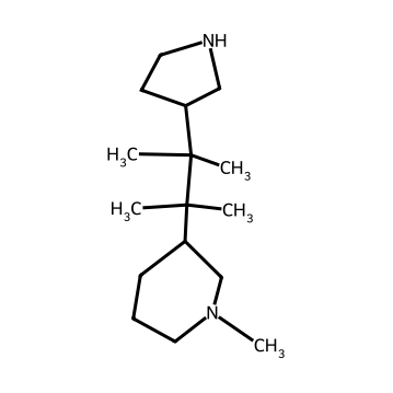 CN1CCCC(C(C)(C)C(C)(C)C2CCNC2)C1